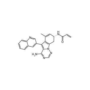 C=CC(=O)N[C@H]1C=C(C)c2c(-c3cnc4ccccc4c3)c3c(N)ncnn3c2C1